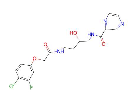 O=C(COc1ccc(Cl)c(F)c1)NCC[C@H](O)CNC(=O)c1cnccn1